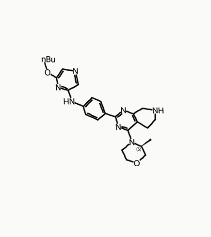 CCCCOc1cncc(Nc2ccc(-c3nc4c(c(N5CCOC[C@@H]5C)n3)CCNC4)cc2)n1